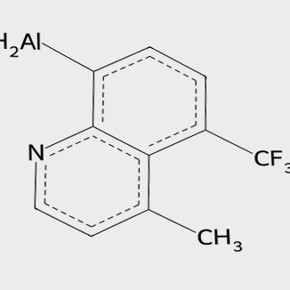 Cc1ccnc2[c]([AlH2])ccc(C(F)(F)F)c12